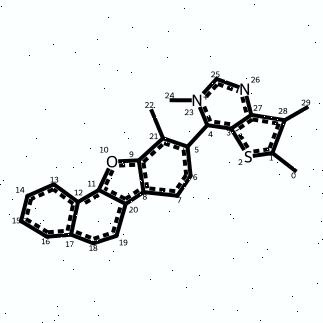 Cc1sc2c(-c3ccc4c(oc5c6ccccc6ccc45)c3C)[n+](C)cnc2c1C